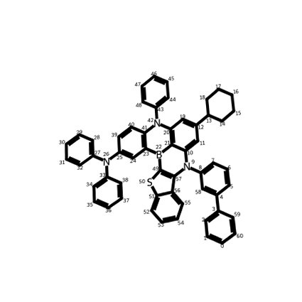 c1ccc(-c2cccc(N3c4cc(C5CCCCC5)cc5c4B(c4cc(N(c6ccccc6)c6ccccc6)ccc4N5c4ccccc4)c4sc5ccccc5c43)c2)cc1